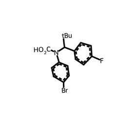 CC(C)(C)C(c1ccc(F)cc1)N(C(=O)O)c1ccc(Br)cc1